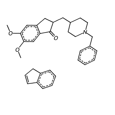 C1=Cc2ccccc2C1.COc1cc2c(cc1OC)C(=O)C(CC1CCN(Cc3ccccc3)CC1)C2